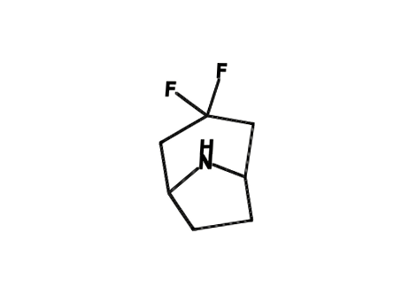 FC1(F)CC2CCC(C1)N2